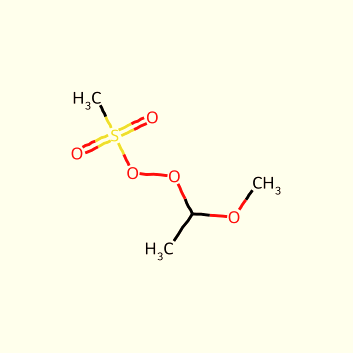 COC(C)OOS(C)(=O)=O